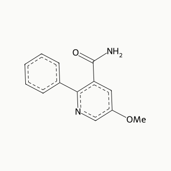 COc1cnc(-c2ccccc2)c(C(N)=O)c1